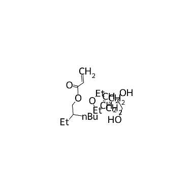 C=C.C=C.C=CC(=O)OCC(CC)CCCC.CCOCC.OCCO